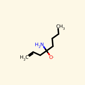 C=CCC(N)([O])CCCC